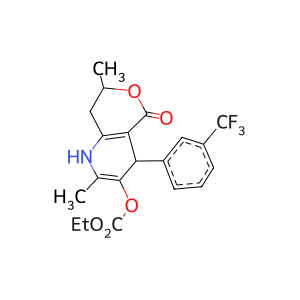 CCOC(=O)OC1=C(C)NC2=C(C(=O)OC(C)C2)C1c1cccc(C(F)(F)F)c1